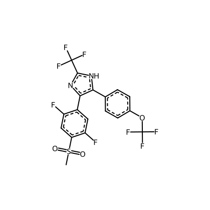 CS(=O)(=O)c1cc(F)c(-c2nc(C(F)(F)F)[nH]c2-c2ccc(OC(F)(F)F)cc2)cc1F